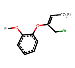 CCOC(=O)C=C(CBr)Oc1ccccc1OC(C)C